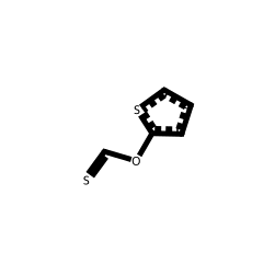 S=COc1cccs1